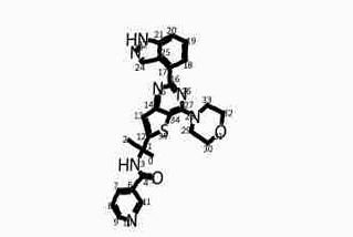 CC(C)(NC(=O)c1cccnc1)c1cc2nc(-c3cccc4[nH]ncc34)nc(N3CCOCC3)c2s1